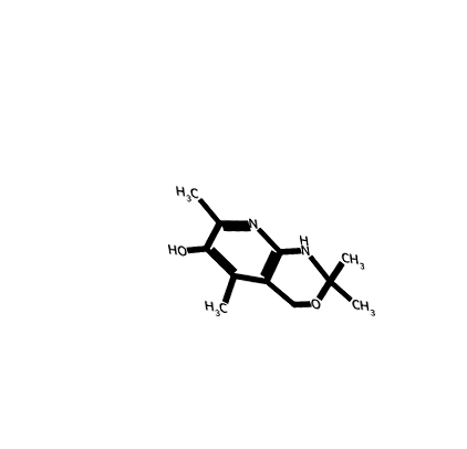 Cc1nc2c(c(C)c1O)COC(C)(C)N2